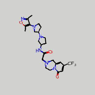 Cc1noc(C)c1N1CCC(N2CCC(NC(=O)CN3CCn4c(cc(C(F)(F)F)cc4=O)C3)C2)C1